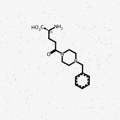 N[C@@H](CCC(=O)N1CCN(Cc2ccccc2)CC1)C(=O)O